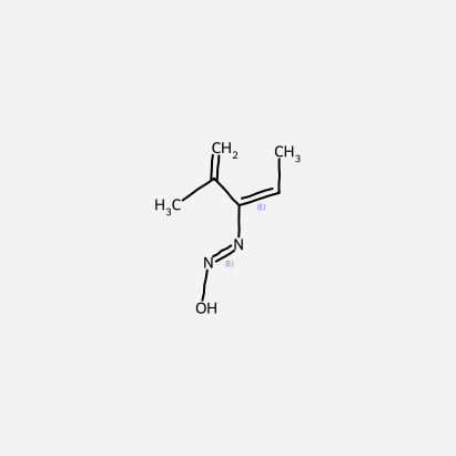 C=C(C)C(=C\C)/N=N/O